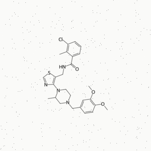 COc1ccc(CN2CCN(c3ncsc3CNC(=O)c3cccc(Cl)c3C)C(C)C2)cc1OC